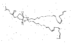 C/C=C\C/C=C\C/C=C\CCCCCCCCC1(CCCCCCCC/C=C\C/C=C\CCCC)O[C@H]2C[C@H](CC(=O)CCN(C)C)C[C@H]2O1